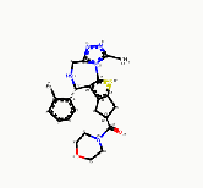 CCc1ccccc1[C@@H]1NCc2nnc(C)n2-c2sc3c(c21)C[C@H](C(=O)N1CCOCC1)C3